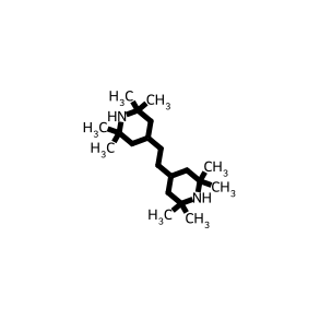 CC1(C)CC(CCC2CC(C)(C)NC(C)(C)C2)CC(C)(C)N1